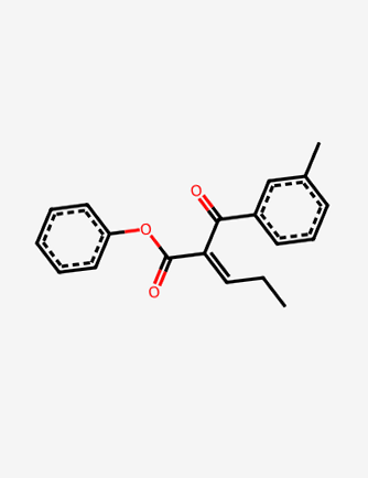 CCC=C(C(=O)Oc1ccccc1)C(=O)c1cccc(C)c1